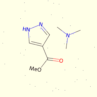 CN(C)C.COC(=O)c1cn[nH]c1